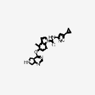 Cc1c(OC2=NC=NC3CNCC23)ccc2c1ccn2C(=O)Nc1cc(C2CC2)on1